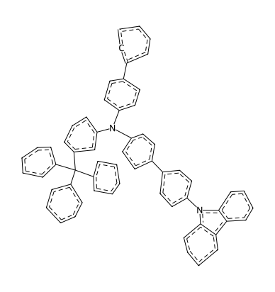 c1ccc(-c2ccc(N(c3ccc(-c4ccc(-n5c6ccccc6c6ccccc65)cc4)cc3)c3cccc(C(c4ccccc4)(c4ccccc4)c4ccccc4)c3)cc2)cc1